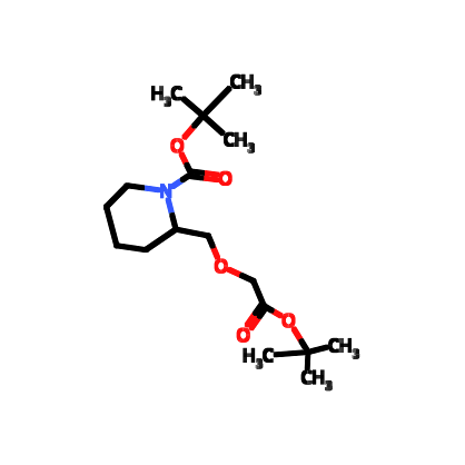 CC(C)(C)OC(=O)COCC1CCCCN1C(=O)OC(C)(C)C